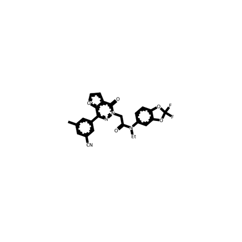 CCN(C(=O)Cn1nc(-c2cc(C)cc(C#N)c2)c2occc2c1=O)c1ccc2c(c1)OC(F)(F)O2